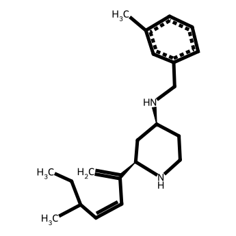 C=C(/C=C\C(C)CC)[C@H]1C[C@@H](NCc2cccc(C)c2)CCN1